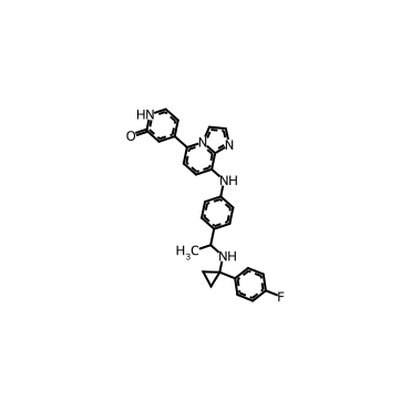 CC(NC1(c2ccc(F)cc2)CC1)c1ccc(Nc2ccc(-c3cc[nH]c(=O)c3)n3ccnc23)cc1